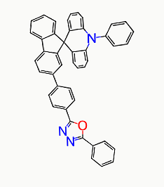 c1ccc(-c2nnc(-c3ccc(-c4ccc5c(c4)C4(c6ccccc6-5)c5ccccc5N(c5ccccc5)c5ccccc54)cc3)o2)cc1